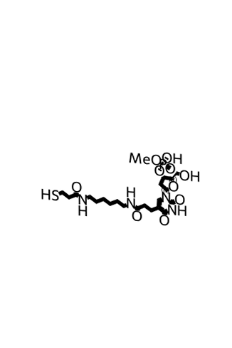 COP(=O)(O)OC1C[C@H](n2cc(CCC(=O)NCCCCCCNC(=O)CCS)c(=O)[nH]c2=O)O[C@@H]1CO